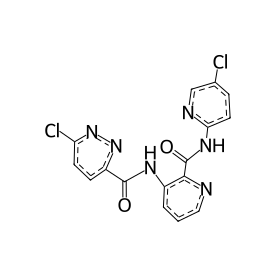 O=C(Nc1cccnc1C(=O)Nc1ccc(Cl)cn1)c1ccc(Cl)nn1